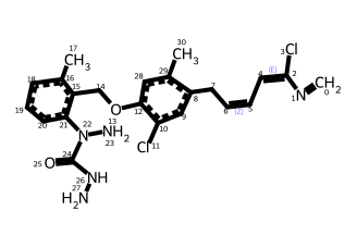 C=N/C(Cl)=C\C=C/Cc1cc(Cl)c(OCc2c(C)cccc2N(N)C(=O)NN)cc1C